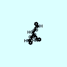 O=C(Cc1c[nH]c2ccccc12)OCC(O)C(COC(=O)Cc1c[nH]c2ccccc12)OC(=O)Cc1c[nH]c2ccccc12